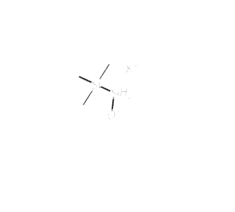 C[Si](C)(C)[SiH2][O-].[K+]